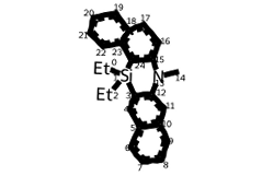 CC[Si]1(CC)c2cc3ccccc3cc2N(C)c2ccc3ccccc3c21